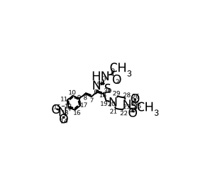 CC(=O)Nc1nc(C=Cc2ccc([N+](=O)[O-])cc2)c(CN2CCN(S(C)(=O)=O)CC2)s1